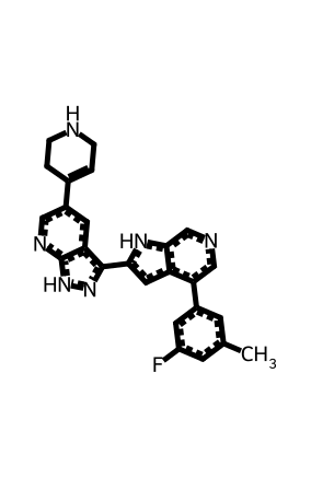 Cc1cc(F)cc(-c2cncc3[nH]c(-c4n[nH]c5ncc(C6=CCNCC6)cc45)cc23)c1